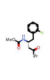 COC(=O)N[C@@H](CC(=O)C(C)C)Cc1ccccc1F